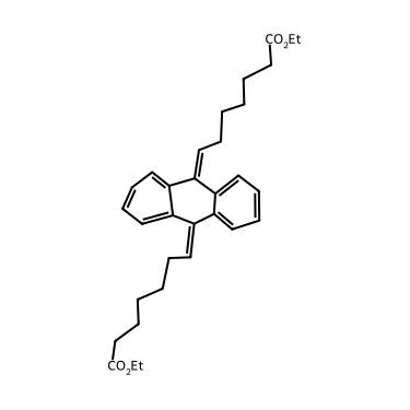 CCOC(=O)CCCCCC=c1c2ccccc2c(=CCCCCCC(=O)OCC)c2ccccc12